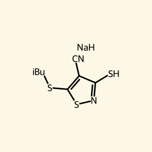 CCC(C)Sc1snc(S)c1C#N.[NaH]